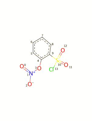 O=[N+]([O-])Oc1ccccc1S(=O)(=O)Cl